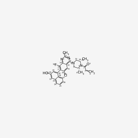 C=CC(=O)N1[C@H](C)CN(c2nc(C)nc3c(F)c(-c4cc(O)cc5ccccc45)c(Cl)cc23)C[C@@H]1C